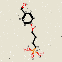 O=Cc1ccc(OCCCCP(=O)(O)O)cc1